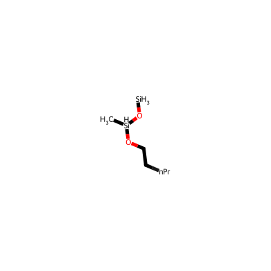 CCCCCO[SiH](C)O[SiH3]